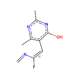 C=N/C(F)=C\c1c(C)nc(C)nc1O